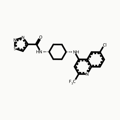 O=C(N[C@H]1CC[C@@H](Nc2cc(C(F)(F)F)nc3ccc(Cl)cc23)CC1)c1csnn1